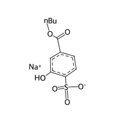 CCCCOC(=O)c1ccc(S(=O)(=O)[O-])c(O)c1.[Na+]